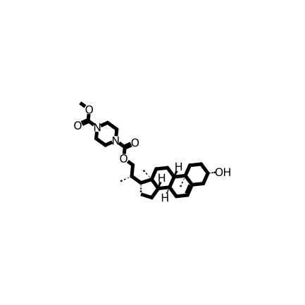 COC(=O)N1CCN(C(=O)OC[C@@H](C)[C@H]2CC[C@H]3[C@@H]4CC=C5C[C@@H](O)CC[C@]5(C)[C@H]4CC[C@]23C)CC1